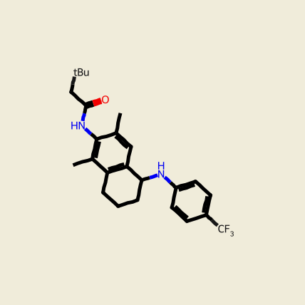 Cc1cc2c(c(C)c1NC(=O)CC(C)(C)C)CCCC2Nc1ccc(C(F)(F)F)cc1